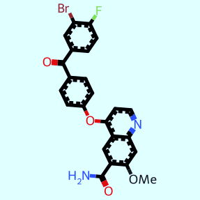 COc1cc2nccc(Oc3ccc(C(=O)c4ccc(F)c(Br)c4)cc3)c2cc1C(N)=O